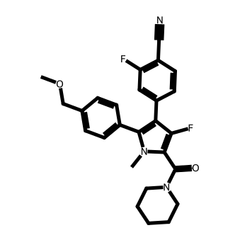 COCc1ccc(-c2c(-c3ccc(C#N)c(F)c3)c(F)c(C(=O)N3CCCCC3)n2C)cc1